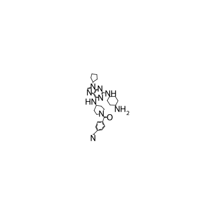 N#Cc1ccc(C(=O)N2CCC(Nc3nc(N[C@H]4CC[C@H](N)CC4)nc4c3ncn4C3CCCC3)CC2)cc1